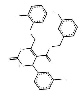 N#Cc1cccc(COC(=O)C2=C(COc3ccccc3Cl)NC(=O)NC2c2cccc(C#N)c2)c1